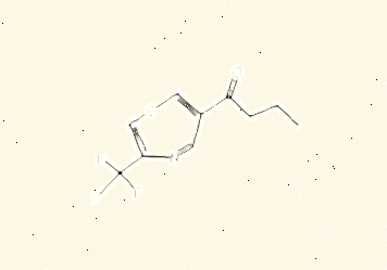 CCCC(=O)C1=CCC=C(C(F)(F)F)N=C1